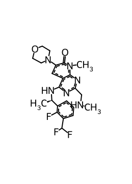 CNCc1nc(N[C@H](C)c2cccc(C(F)F)c2F)c2cc(N3CCOCC3)c(=O)n(C)c2n1